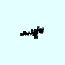 CCN(CC)CCCCCNc1cc(O)cc2nc(Nc3cccc(C)c3)ncc12